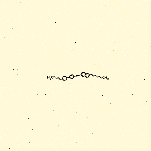 CCCCCCCc1ccc2cc(C#Cc3ccc(C4CCC(CCCCC)CC4)cc3)ccc2c1